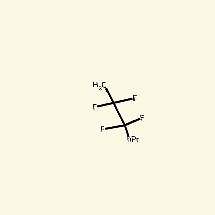 CCCC(F)(F)C(C)(F)F